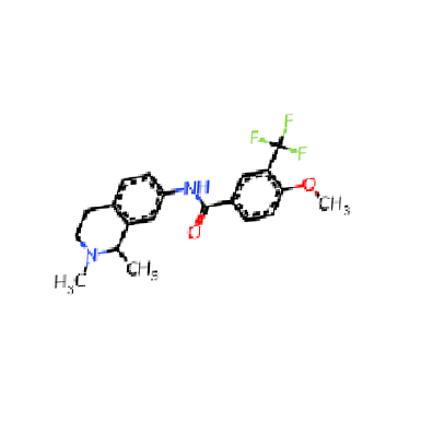 COc1ccc(C(=O)Nc2ccc3c(c2)C(C)N(C)CC3)cc1C(F)(F)F